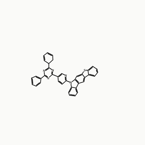 C1=CCC(c2nc(-c3ccccc3)nc(-c3ccc(-n4c5ccccc5c5cc6c(cc54)sc4ccccc46)nc3)n2)C=C1